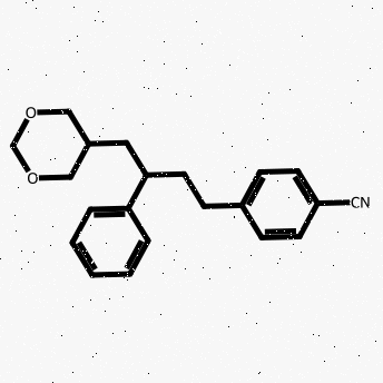 N#Cc1ccc(CCC(CC2COCOC2)c2ccccc2)cc1